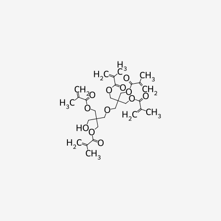 C=C(C)C(=O)OCC(CO)(COCC(COC(=O)C(=C)C)(COC(=O)C(=C)C)COC(=O)C(=C)C)COC(=O)C(=C)C